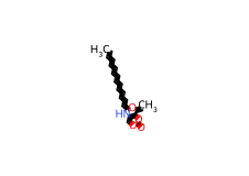 C/C=C/[C@H]1OC(=O)OC[C@@H]1NC(=O)CCCCCCCCCCCCCCC